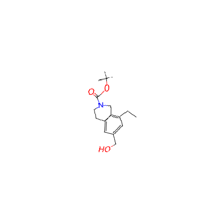 CCc1cc(CO)cc2c1CN(C(=O)OC(C)(C)C)CC2